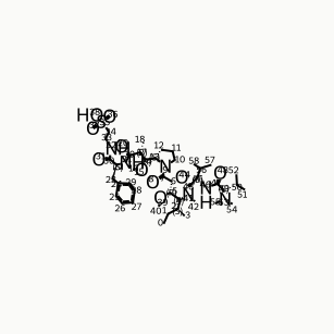 CC[C@H](C)[C@@H]([C@@H](CC(=O)N1CCC[C@H]1[C@H](OC)[C@@H](C)C(=O)N[C@@H](Cc1ccccc1)C(=O)NCCS(=O)(=O)O)OC)N(C)C(=O)[C@@H](NC(=O)[C@H](C(C)C)N(C)C)C(C)C